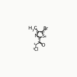 Cc1nc(C(=O)CCl)sc1Br